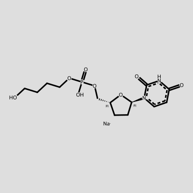 O=c1ccn([C@H]2CC[C@H](COP(=O)(O)OCCCCO)O2)c(=O)[nH]1.[Na]